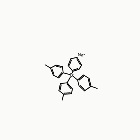 Cc1ccc([B-](c2ccccc2)(c2ccc(C)cc2)c2ccc(C)cc2)cc1.[Na+]